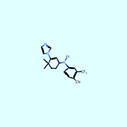 CCN(c1ccc(C#N)c(C(F)(F)F)c1)C1C=C(n2ccnc2)C(C)(C)CC1